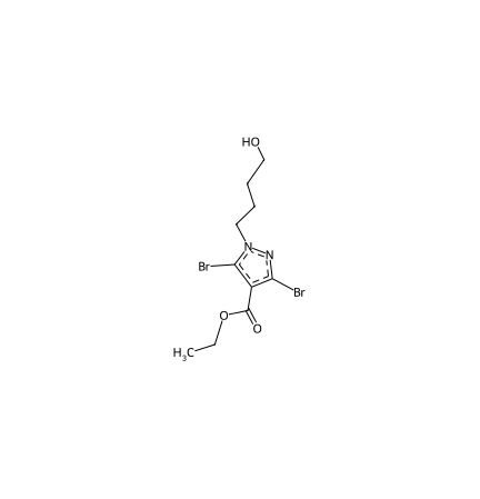 CCOC(=O)c1c(Br)nn(CCCCO)c1Br